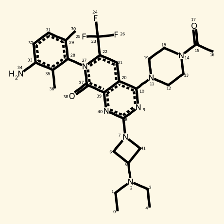 CCN(CC)C1CN(c2nc(N3CCN(C(C)=O)CC3)c3cc(C(F)(F)F)n(-c4c(C)ccc(N)c4C)c(=O)c3n2)C1